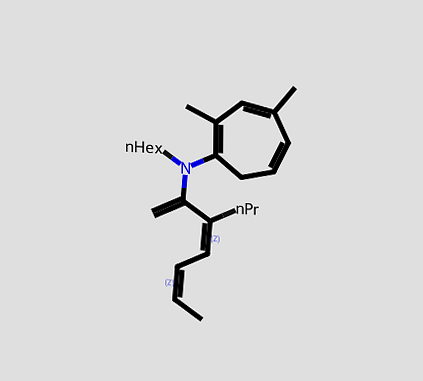 C=C(/C(=C\C=C/C)CCC)N(CCCCCC)C1=C(C)C=C(C)C=CC1